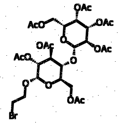 CC(=O)OC[C@H]1O[C@@H](O[C@H]2[C@H](OC(C)=O)[C@@H](OC(C)=O)[C@@H](OCCBr)O[C@@H]2COC(C)=O)[C@H](OC(C)=O)[C@@H](OC(C)=O)[C@H]1OC(C)=O